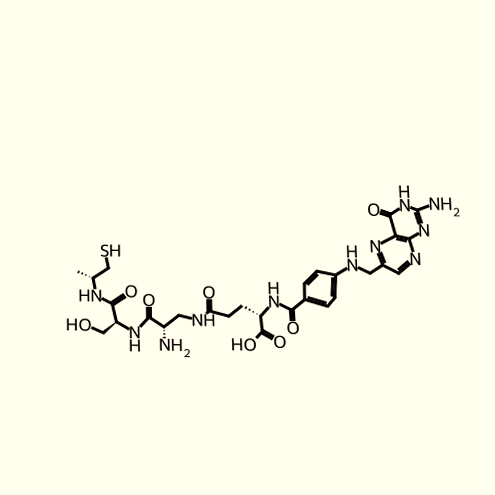 C[C@H](CS)NC(=O)[C@H](CO)NC(=O)[C@@H](N)CNC(=O)CC[C@H](NC(=O)c1ccc(NCc2cnc3nc(N)[nH]c(=O)c3n2)cc1)C(=O)O